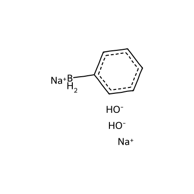 Bc1ccccc1.[Na+].[Na+].[OH-].[OH-]